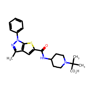 Cc1nn(-c2ccccc2)c2sc(C(=O)NC3CCN(C(C)(C)C(=O)O)CC3)cc12